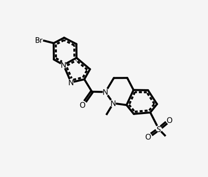 CN1c2cc(S(C)(=O)=O)ccc2CCN1C(=O)c1cc2ccc(Br)cn2n1